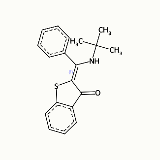 CC(C)(C)N/C(=C1/Sc2ccccc2C1=O)c1ccccc1